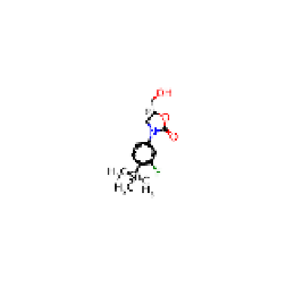 [CH3][Sn]([CH3])([CH3])[c]1ccc(N2C[C@H](CO)OC2=O)cc1F